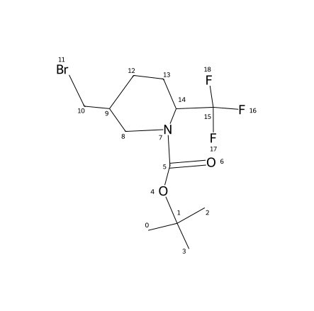 CC(C)(C)OC(=O)N1CC(CBr)CCC1C(F)(F)F